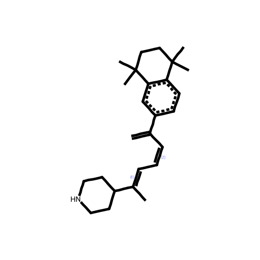 C=C(/C=C\C=C(/C)C1CCNCC1)c1ccc2c(c1)C(C)(C)CCC2(C)C